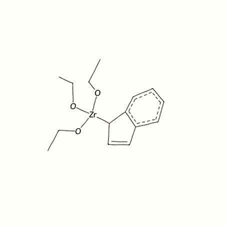 CC[O][Zr]([O]CC)([O]CC)[CH]1C=Cc2ccccc21